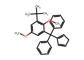 COc1cc(C(C)(C)C)c(OC)c(C(C2=CCC=C2)(c2ccccc2)c2ccccc2)c1